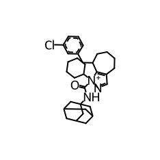 O=C(NC12CC3CC(CC(C3)C1)C2)[N+]1(C2CCCCC2)N=CC2=C1C(Cc1cccc(Cl)c1)CCCC2